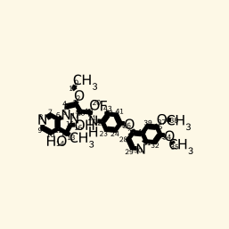 CCOc1cn(-c2cnccc2C(C)(O)CO)nc1C(=O)Nc1ccc(Oc2ccnc3cc(OC)c(OC)cc23)cc1F